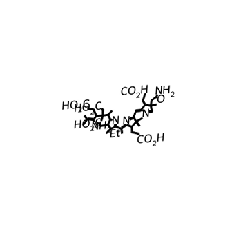 CCC1(C)C(/C(C)=C2N=C(/C=C3\N=CC(C)(CC(N)=O)C3CCC(=O)O)C(C)(C)C\2CCC(=O)O)=NC(C(C)C(C)(CC(=O)O)C(CCC(=O)O)C(N)=C(C)C)C1CC(=O)O